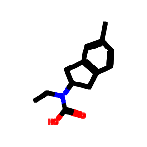 CCN(C(=O)O)C1Cc2ccc(C)cc2C1